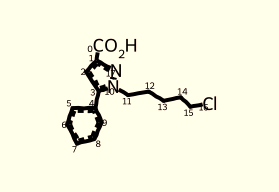 O=C(O)c1cc(-c2ccccc2)n(CCCCCCl)n1